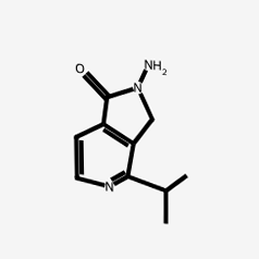 CC(C)c1nccc2c1CN(N)C2=O